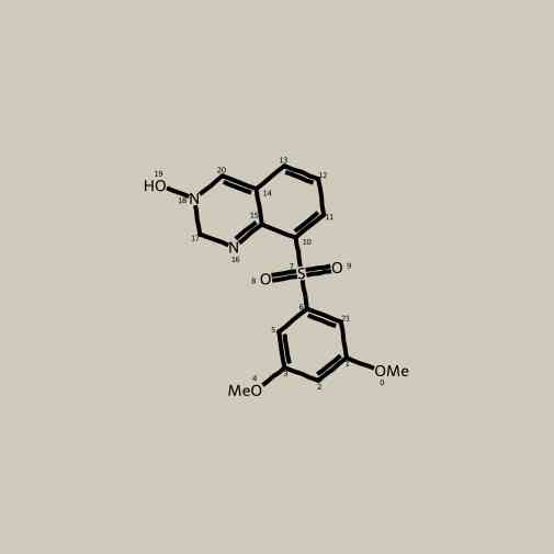 COc1cc(OC)cc(S(=O)(=O)c2cccc3c2=NCN(O)C=3)c1